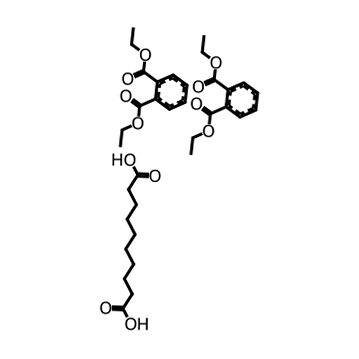 CCOC(=O)c1ccccc1C(=O)OCC.CCOC(=O)c1ccccc1C(=O)OCC.O=C(O)CCCCCCCCC(=O)O